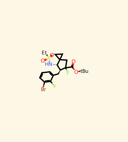 CCS(=O)(=O)N[C@H]1[C@H](Cc2cccc(Br)c2F)C(F)(C(=O)OC(C)(C)C)CC12CC2